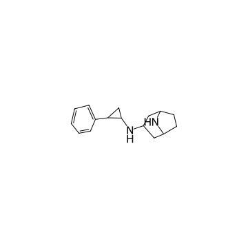 c1ccc(C2CC2NC2CC3CCC(C2)N3)cc1